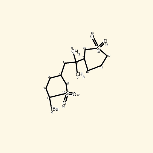 CC(C)(C)C1CCC(CC(C)(C)C2CCCS(=O)(=O)C2)CS1(=O)=O